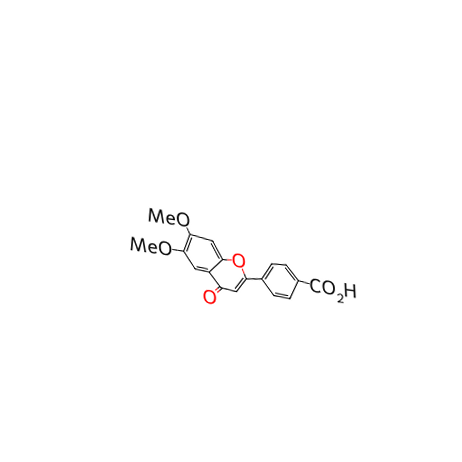 COc1cc2oc(-c3ccc(C(=O)O)cc3)cc(=O)c2cc1OC